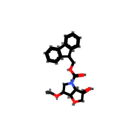 CC(C)(C)OC1CN(C(=O)OCC2c3ccccc3-c3ccccc32)C2C(=O)COC12